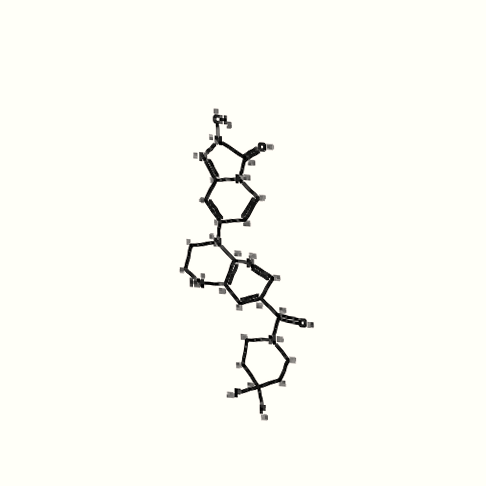 Cn1nc2cc(N3CCNc4cc(C(=O)N5CCC(F)(F)CC5)cnc43)ccn2c1=O